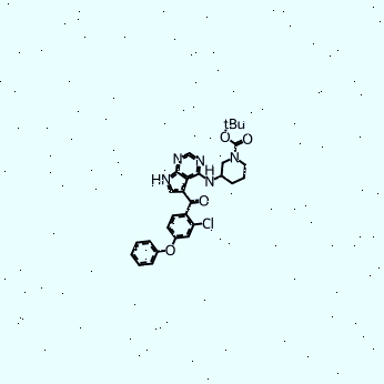 CC(C)(C)OC(=O)N1CCCC(Nc2ncnc3[nH]cc(C(=O)c4ccc(Oc5ccccc5)cc4Cl)c23)C1